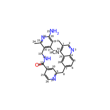 Cc1cnc2ccc(Cc3cc(C(=O)NCc4c(C#N)cc(N)nc4C)ccn3)cc2c1